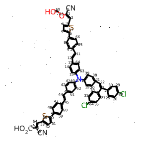 N#C/C(=C/c1ccc(-c2ccc(/C=C/c3ccc(N(c4ccc(C=C(c5ccc(Cl)cc5)c5ccc(Cl)cc5)cc4)c4ccc(/C=C/c5ccc(-c6ccc(/C=C(\C#N)C(=O)O)s6)cc5)cc4)cc3)cc2)s1)OCO